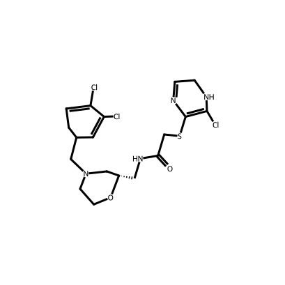 O=C(CSC1=C(Cl)NCC=N1)NC[C@H]1CN(CC2C=C(Cl)C(Cl)=CC2)CCO1